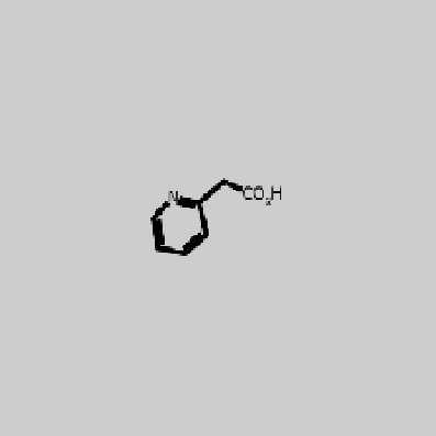 O=C(O)Cc1[c]cccn1